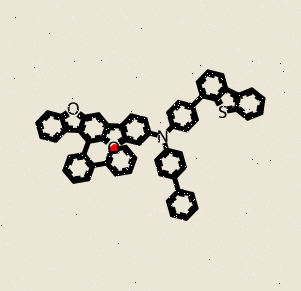 c1ccc(-c2ccc(N(c3ccc(-c4cccc5c4sc4ccccc45)cc3)c3ccc4c(c3)oc3c(-c5ccccc5-c5ccccc5)c5c(cc34)oc3ccccc35)cc2)cc1